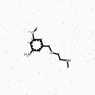 CNCCOCc1cc(N)cc(OC)c1